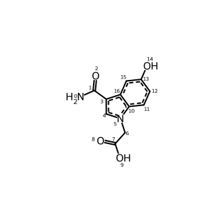 NC(=O)c1cn(CC(=O)O)c2ccc(O)cc12